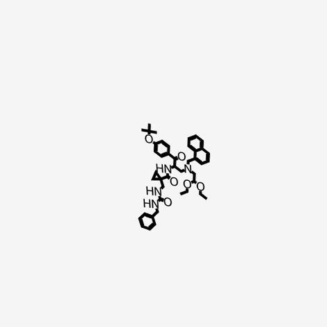 CCOC(CN(Cc1cccc2ccccc12)CC(NC(=O)C1(CNC(=O)NCc2ccccc2)CC1)C(=O)c1ccc(OC(C)(C)C)cc1)OCC